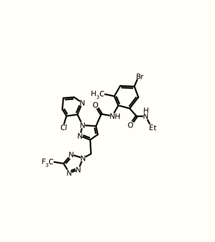 CCNC(=O)c1cc(Br)cc(C)c1NC(=O)c1cc(Cn2nnc(C(F)(F)F)n2)nn1-c1ncccc1Cl